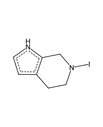 IN1CCc2cc[nH]c2C1